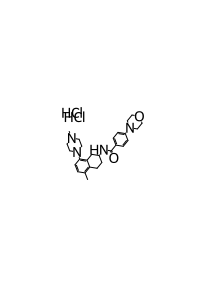 Cc1ccc(N2CCN(C)CC2)c2c1CCC(NC(=O)c1ccc(N3CCOCC3)cc1)C2.Cl.Cl